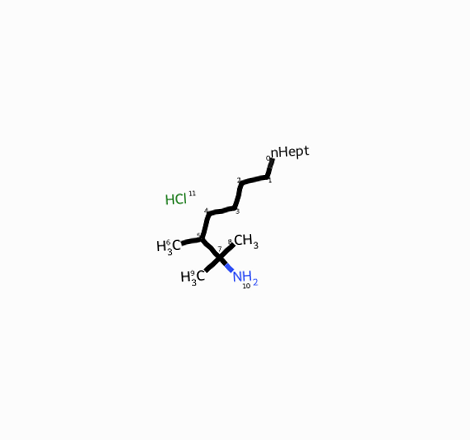 CCCCCCCCCCCC(C)C(C)(C)N.Cl